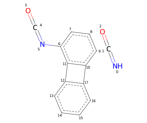 N=C=O.O=C=Nc1cccc2c1-c1ccccc1-2